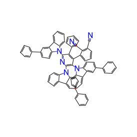 N#Cc1cccc(-c2c(-c3ccccc3)c(-n3c4ccccc4c4cc(-c5ccccc5)ccc43)nc(-n3c4ccccc4c4cc(-c5ccccc5)ccc43)c2-n2c3ccccc3c3cc(-c4ccccc4)ccc32)c1C#N